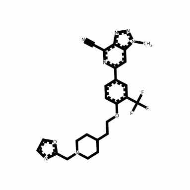 Cn1nnc2c(C#N)nc(-c3ccc(OCCC4CCN(Cc5ncco5)CC4)c(C(F)(F)F)c3)cc21